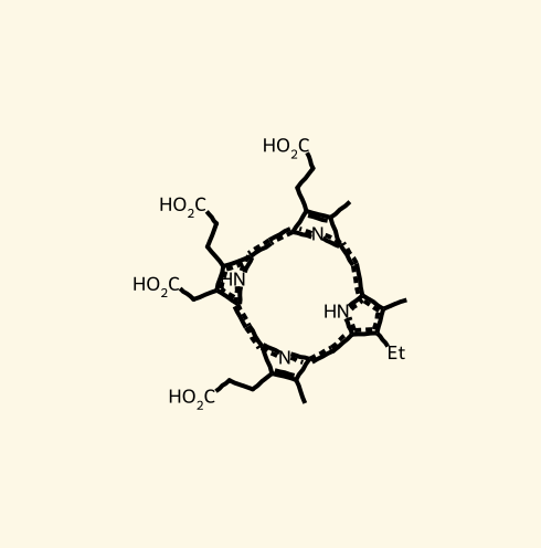 CCc1c(C)c2cc3nc(cc4[nH]c(cc5nc(cc1[nH]2)C(C)=C5CCC(=O)O)c(CC(=O)O)c4CCC(=O)O)C(CCC(=O)O)=C3C